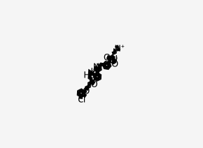 Cc1c(Cl)cccc1OCCCC(=O)N1C[C@@H]2C[C@@H]2c2c(-c3cnn(Cc4cccc(N5C(=O)[C@H](CCC[N+](C)(C)C)N(C)C5=O)c4)c3)cccc21